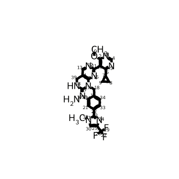 COc1ncnc(C2CC2)c1-c1ncc2c(n1)N(Cc1ccc(-c3nc(C(F)(F)F)cn3C)cc1)C(=NN)NC2